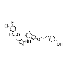 Cc1c(OCCCN2CCC(CO)CC2)cn2ncnc(Nc3ncc(CC(=O)Nc4ccc(F)c(Cl)c4)s3)c12